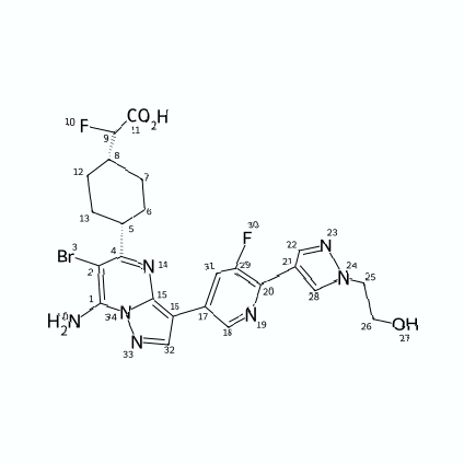 Nc1c(Br)c([C@H]2CC[C@@H](C(F)C(=O)O)CC2)nc2c(-c3cnc(-c4cnn(CCO)c4)c(F)c3)cnn12